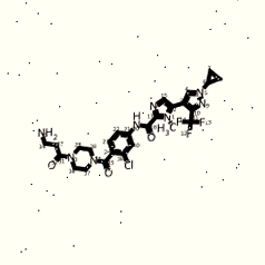 Cn1c(-c2cn(C3CC3)nc2C(F)(F)F)cnc1C(=O)Nc1ccc(C(=O)N2CCN(C(=O)CCN)CC2)c(Cl)c1